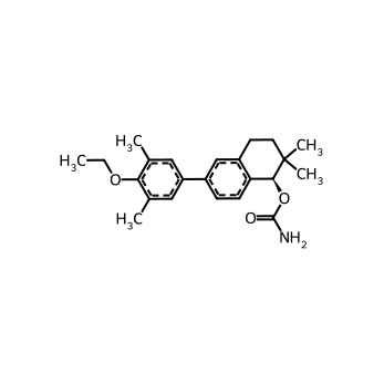 CCOc1c(C)cc(-c2ccc3c(c2)CCC(C)(C)[C@H]3OC(N)=O)cc1C